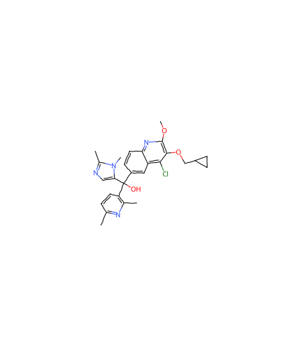 COc1nc2ccc(C(O)(c3ccc(C)nc3C)c3cnc(C)n3C)cc2c(Cl)c1OCC1CC1